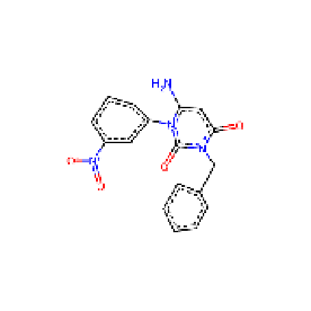 Nc1cc(=O)n(Cc2ccccc2)c(=O)n1-c1cccc([N+](=O)[O-])c1